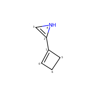 C1=C(C2=CN2)CC1